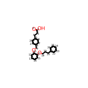 O=C(O)CCc1ccc(COc2ccccc2OCCCc2ccccc2)cc1